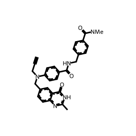 C#CCN(Cc1ccc2nc(C)[nH]c(=O)c2c1)c1ccc(C(=O)NCc2ccc(C(=O)NC)cc2)cc1